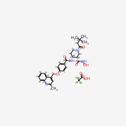 Cc1cc(COc2ccc(C(=O)N[C@@H]3CCN(C(=O)CC(C)(C)C)C[C@@H]3C(=O)NO)cc2)c2ccccc2n1.O=C(O)C(F)(F)F